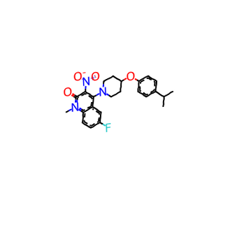 CC(C)c1ccc(OC2CCN(c3c([N+](=O)[O-])c(=O)n(C)c4ccc(F)cc34)CC2)cc1